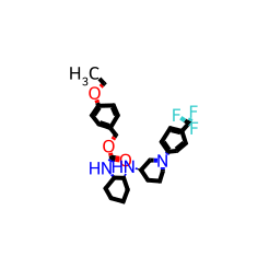 CCOc1ccc(COC(=O)N[C@@H]2CCCC[C@H]2N[C@H]2CCCN(c3ccc(C(F)(F)F)cc3)C2)cc1